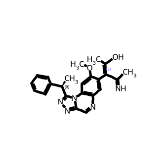 COc1cc2c(cc1/C(C(C)=N)=C(\C)O)ncc1nnc([C@H](C)c3ccccc3)n12